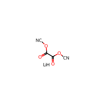 N#COC(=O)C(=O)OC#N.[LiH]